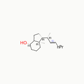 CCC/C=C/[C@@H](C)[C@H]1CCC2[C@@H](O)CCC[C@@]21C